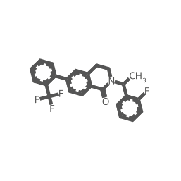 CC(c1ccccc1F)N1CCc2cc(-c3ccccc3C(F)(F)F)ccc2C1=O